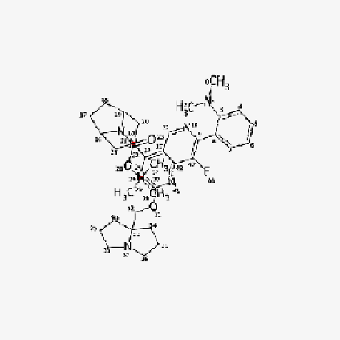 CN(C)c1ccccc1-c1ncc2c(N3CC4CCC(C3)N4C(=O)OC(C)(C)C)nc(OCC34CCCN3CCC4)nc2c1F